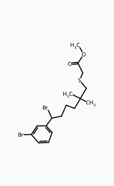 COC(=O)CSCC(C)(C)CCCC(Br)c1cccc(Br)c1